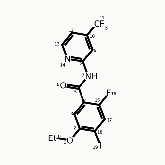 CCOc1cc(C(=O)Nc2cc(C(F)(F)F)ccn2)c(F)cc1I